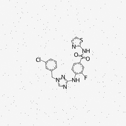 O=S(=O)(Nc1nccs1)c1ccc(Nc2ncn(Cc3cccc(Cl)c3)n2)c(F)c1